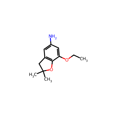 CCOc1cc(N)cc2c1OC(C)(C)C2